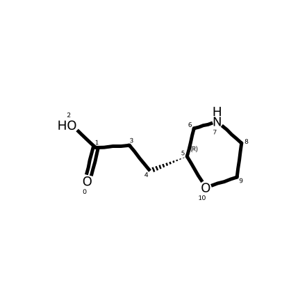 O=C(O)CC[C@@H]1CNCCO1